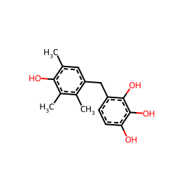 Cc1cc(Cc2ccc(O)c(O)c2O)c(C)c(C)c1O